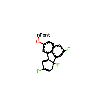 CCCCCOc1cccc(C2=CC(F)=CCC2(F)c2cccc(F)c2)c1